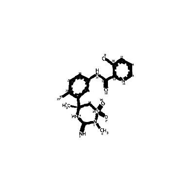 CN1C(=N)N[C@](C)(c2cc(NC(=O)c3ncccc3Cl)ccc2F)CS1(=O)=O